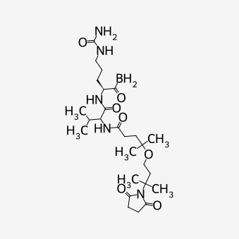 BC(=O)[C@H](CCCNC(N)=O)NC(=O)C(NC(=O)CCC(C)(C)OCCC(C)(C)N1C(=O)CCC1=O)C(C)C